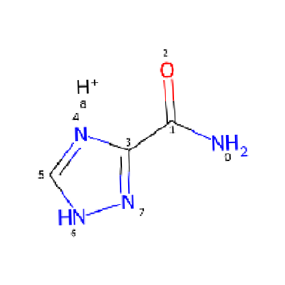 NC(=O)c1nc[nH]n1.[H+]